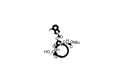 CC(C)(C)OC(=O)N[C@@H]1CCCCC/C=C\[C@@H]2C[C@@]2(C(=O)O)NC(=O)[C@@H]2C[C@@H](OC(=O)N3Cc4cccc(F)c4C3)CN2C1=O